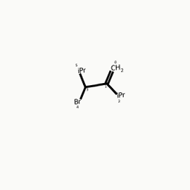 C=C(C(C)C)C(Br)C(C)C